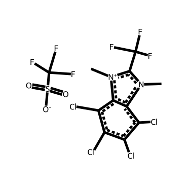 Cn1c(C(F)(F)F)[n+](C)c2c(Cl)c(Cl)c(Cl)c(Cl)c21.O=S(=O)([O-])C(F)(F)F